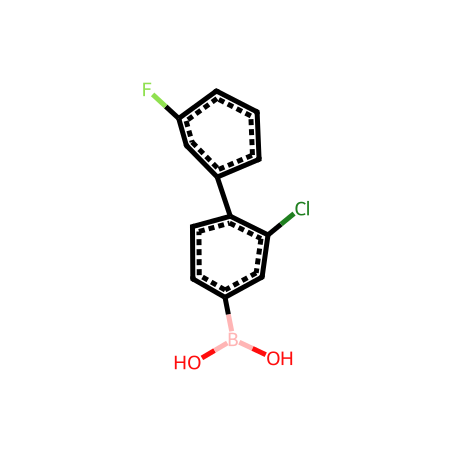 OB(O)c1ccc(-c2cccc(F)c2)c(Cl)c1